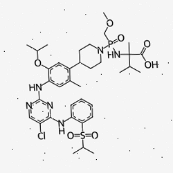 COCP(=O)(NC(C)(C(=O)O)C(C)C)N1CCC(c2cc(OC(C)C)c(Nc3ncc(Cl)c(Nc4ccccc4S(=O)(=O)C(C)C)n3)cc2C)CC1